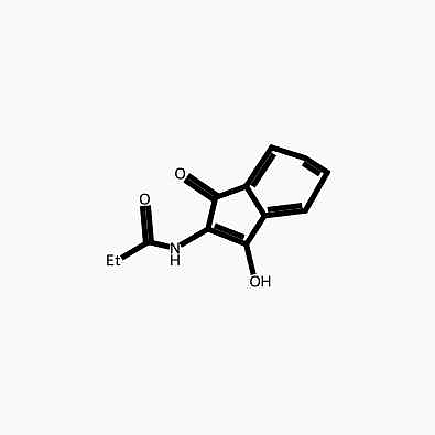 CCC(=O)NC1=C(O)c2ccccc2C1=O